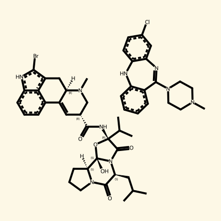 CC(C)C[C@H]1C(=O)N2CCC[C@H]2[C@]2(O)O[C@](NC(=O)[C@@H]3C=C4c5cccc6[nH]c(Br)c(c56)C[C@H]4N(C)C3)(C(C)C)C(=O)N12.CN1CCN(C2=Nc3cc(Cl)ccc3Nc3ccccc32)CC1